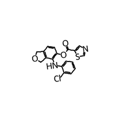 O=C(Oc1ccc2c(c1Nc1ccccc1Cl)COC2)c1cncs1